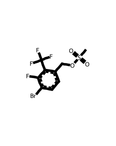 CS(=O)(=O)OCc1ccc(Br)c(F)c1C(F)(F)F